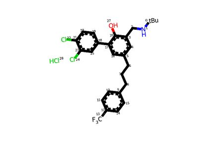 CC(C)(C)NCc1cc(CCCc2ccc(C(F)(F)F)cc2)cc(-c2ccc(Cl)c(Cl)c2)c1O.Cl